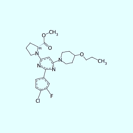 CCCOC1CCN(c2cc(N3CCC[C@@H]3C(=O)OC)nc(-c3ccc(Cl)c(F)c3)n2)CC1